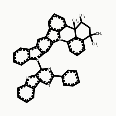 CC1CC(C)(C)c2cccc3c2C1(C)c1cccc2c4cc5c6ccccc6n(-c6nc(-c7ccccc7)nc7c6oc6ccccc67)c5cc4n-3c12